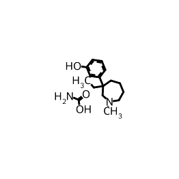 CCC1(c2cccc(O)c2)CCCCN(C)C1.NC(=O)O